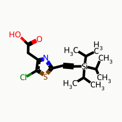 CC(C)[Si](C#Cc1nc(CC(=O)O)c(Cl)s1)(C(C)C)C(C)C